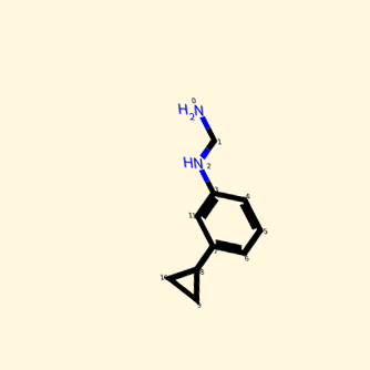 NCNc1cccc(C2CC2)c1